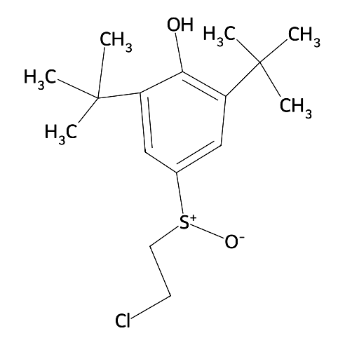 CC(C)(C)c1cc([S+]([O-])CCCl)cc(C(C)(C)C)c1O